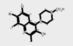 Cc1nc2c(F)c(Br)c(Cl)cc2c(N2CCN(C(=O)O)CC2)c1C#N